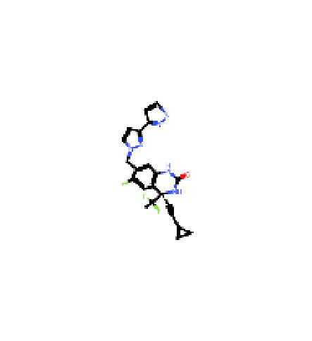 CC(F)(F)[C@@]1(C#CC2CC2)NC(=O)Nc2cc(Cn3ccc(-c4cc[nH]n4)n3)c(F)cc21